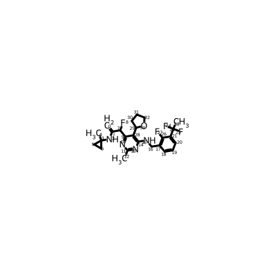 C=C(NC1(C)CC1)C(F)c1nc(C)nc(NCc2cccc(C(C)(F)F)c2F)c1C1CCCO1